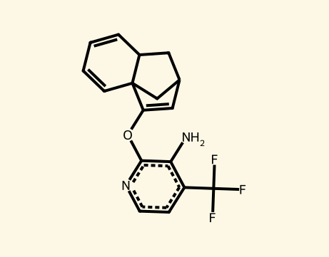 Nc1c(C(F)(F)F)ccnc1OC1=CC2CC3C=CC=CC13C2